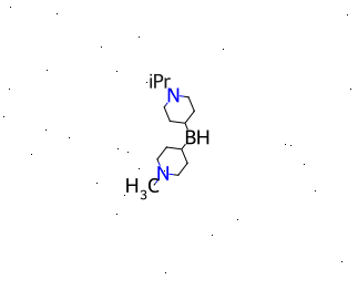 CC(C)N1CCC(BC2CCN(C)CC2)CC1